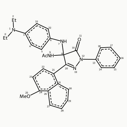 CCN(CC)c1ccc(NC2(NC(C)=O)C(=O)N(c3ccccc3)N=C2c2ccc(OC)c3ccccc23)cc1